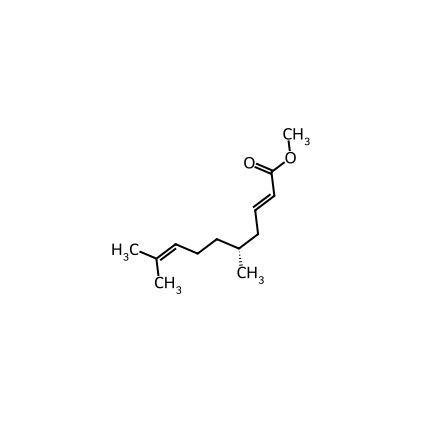 COC(=O)/C=C/C[C@H](C)CCC=C(C)C